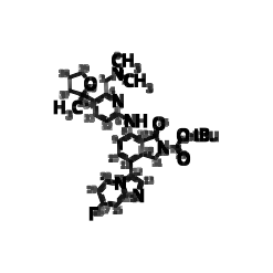 CN(C)Cc1nc(Nc2ccc(-c3cnc4cc(F)ccn34)c3c2C(=O)N(C(=O)OC(C)(C)C)C3)ccc1C1(C)CCCO1